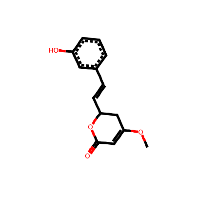 COC1=CC(=O)OC(/C=C/c2cccc(O)c2)C1